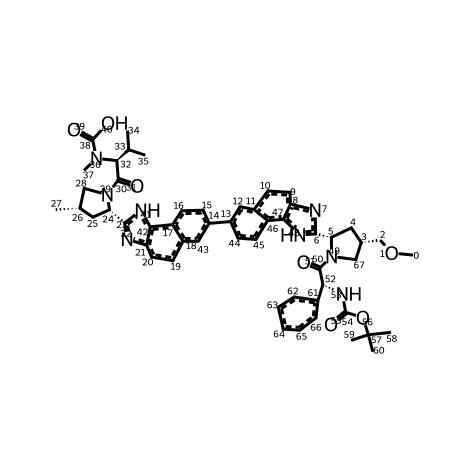 COC[C@H]1C[C@@H](c2nc3ccc4cc(-c5ccc6c(ccc7nc([C@@H]8C[C@H](C)CN8C(=O)[C@H](C(C)C)N(C)C(=O)O)[nH]c76)c5)ccc4c3[nH]2)N(C(=O)[C@H](NC(=O)OC(C)(C)C)c2ccccc2)C1